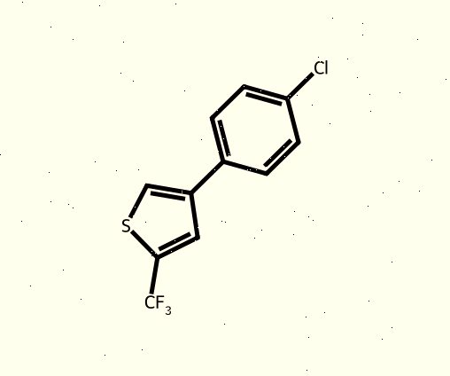 FC(F)(F)c1cc(-c2ccc(Cl)cc2)cs1